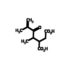 C=C(C)C(=O)C(C)C(CC(=O)O)C(=O)O